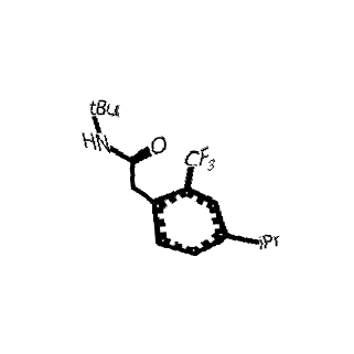 CC(C)c1ccc(CC(=O)NC(C)(C)C)c(C(F)(F)F)c1